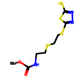 CC(C)(C)OC(=O)NCCSCCSc1nnc(S)s1